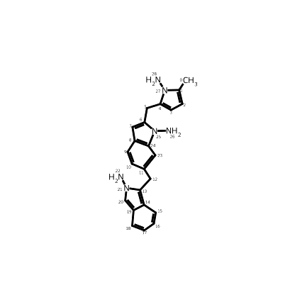 Cc1ccc(Cc2cc3ccc(Cc4c5ccccc5cn4N)cc3n2N)n1N